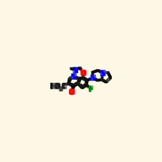 CN1COc2c(N3CCN4CCCC4C3)c(F)cc3c(=O)c(C(=O)O)cn1c23